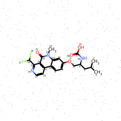 CC(C)CC(COc1ccc2c3ccnc(C(F)F)c3c(=O)n(C)c2c1)NC(=O)O